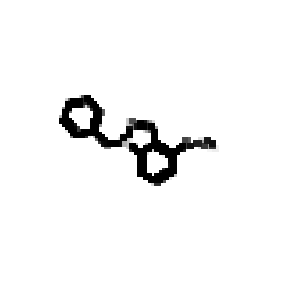 CC(=O)Nc1cccc2c1cnn2Cc1ccccc1